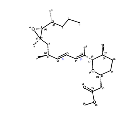 CCC[C@@H](C)[C@H]1O[C@]1(C)C[C@H](C)/C=C/C=C(\C)[C@H]1O[C@@H](CC(=O)OC)CC[C@@H]1C